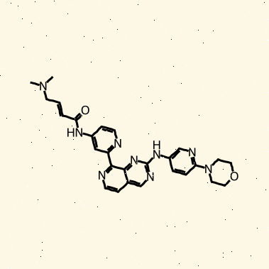 CN(C)CC=CC(=O)Nc1ccnc(-c2nccc3cnc(Nc4ccc(N5CCOCC5)nc4)nc23)c1